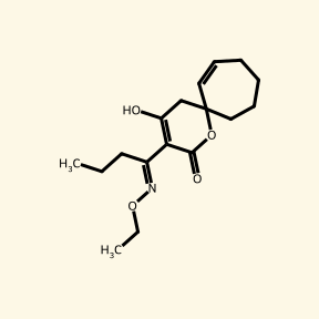 CCCC(=NOCC)C1=C(O)CC2(C=CCCCC2)OC1=O